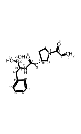 C=CC(=O)N1CC[C@@H](OC(=O)N[C@@H](Cc2ccccc2)B(O)O)C1